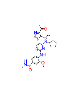 CC[C@@H]1c2c(C(C)=O)ncn2-c2cnc(Nc3ccc(C(=O)NC)cc3OC)nc2N1C1CCCC1